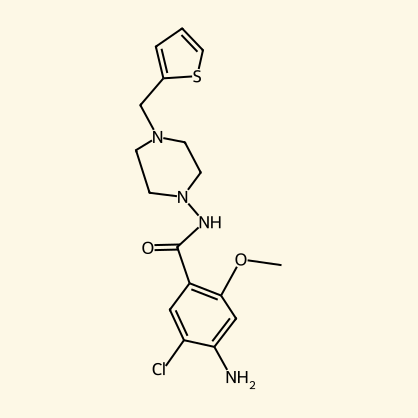 COc1cc(N)c(Cl)cc1C(=O)NN1CCN(Cc2cccs2)CC1